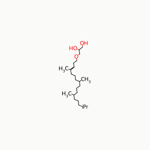 CC(=CCCOCC(O)CO)CCCC(C)CCCC(C)CCCC(C)C